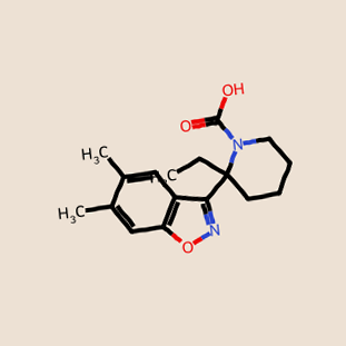 CCC1(c2noc3cc(C)c(C)cc23)CCCCN1C(=O)O